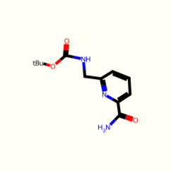 CC(C)(C)OC(=O)NCc1cccc(C(N)=O)n1